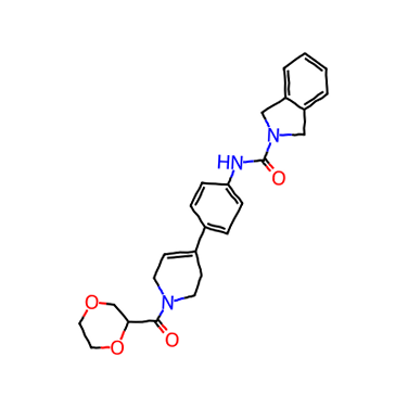 O=C(Nc1ccc(C2=CCN(C(=O)C3COCCO3)CC2)cc1)N1Cc2ccccc2C1